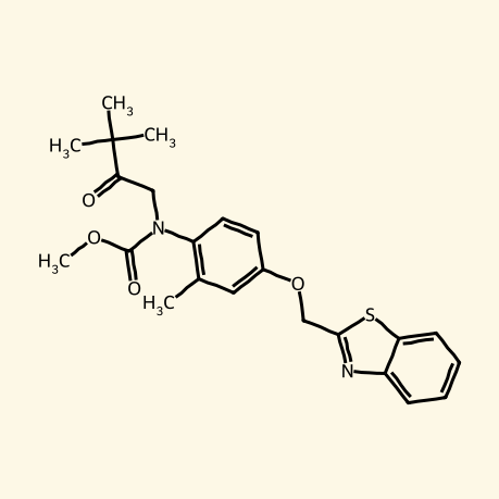 COC(=O)N(CC(=O)C(C)(C)C)c1ccc(OCc2nc3ccccc3s2)cc1C